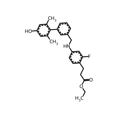 CCOC(=O)CCc1ccc(NCc2cccc(-c3c(C)cc(O)cc3C)c2)cc1F